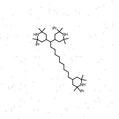 CC(C)C1(C)CC(CCCCCCCCCC(C2CC(C)(C)NC(C)(C(C)C)C2)C2CC(C)(C)NC(C)(C(C)C)C2)CC(C)(C)N1